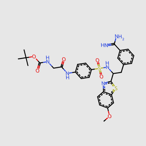 COc1ccc2nc(C(Cc3cccc(C(=N)N)c3)NS(=O)(=O)c3ccc(NC(=O)CNC(=O)OC(C)(C)C)cc3)sc2c1